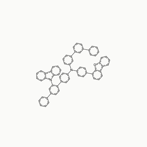 c1ccc(-c2cccc(-c3cccc(N(c4ccc(-c5ccc(-c6ccccc6)cc5-n5c6ccccc6c6ccccc65)cc4)c4ccc(-c5cccc6c5oc5ccccc56)cc4)c3)c2)cc1